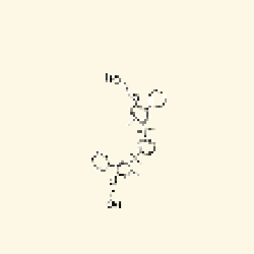 Cc1cc(OCCO)c(C2CCCCC2)cc1C(C)(C)c1cccc(C(C)(C)c2cc(C3CCCCC3)c(OCCO)cc2C)c1